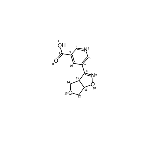 O=C(O)c1cncc(C2=NOC3COCC23)c1